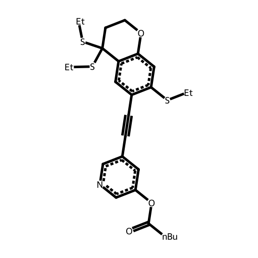 CCCCC(=O)Oc1cncc(C#Cc2cc3c(cc2SCC)OCCC3(SCC)SCC)c1